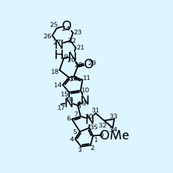 COc1cccc2cc(-c3nc4cc5c(cc4n3C)CCN(CC3COCCN3)C5=O)n(CC3CC3)c12